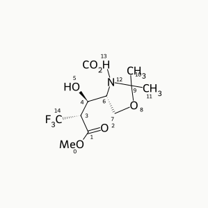 COC(=O)[C@@H]([C@@H](O)[C@H]1COC(C)(C)N1C(=O)O)C(F)(F)F